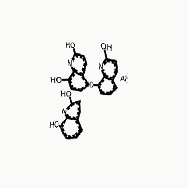 Oc1ccc2cccc(O)c2n1.Oc1ccc2cccc(O)c2n1.Oc1ccc2cccc(O)c2n1.[Al]